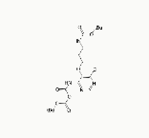 CC(C)(C)OC(=O)NCCCOc1c(Cl)ncnc1NC(=O)OC(=O)OC(C)(C)C